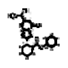 CC(C)c1cc(=O)n2nc([C@H]3CCCCN3C(=O)Oc3ccccc3)sc2n1